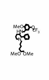 COCC(CCCCN1CCCC(NCc2cc(OC(F)(F)F)ccc2OC)C1c1ccccc1)OC